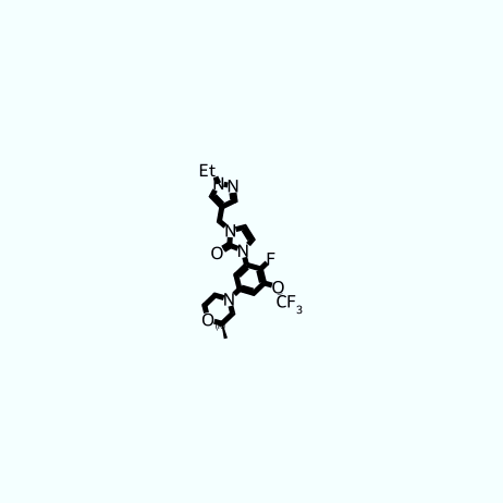 CCn1cc(Cn2ccn(-c3cc(N4CCO[C@H](C)C4)cc(OC(F)(F)F)c3F)c2=O)cn1